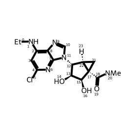 CCNc1cc(Cl)nc2c1ncn2[C@H]1[C@H](O)[C@H](O)[C@]2(C(=O)NC)C[C@H]12